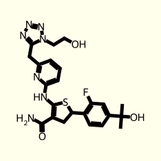 CC(C)(O)c1ccc(C2CC(C(N)=O)=C(Nc3cccc(Cc4nnnn4CCO)n3)S2)c(F)c1